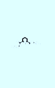 CCCCOC(=O)c1cccc(C(=O)OCCCC)n1